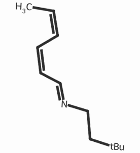 C\C=C/C=C\C=N\CCC(C)(C)C